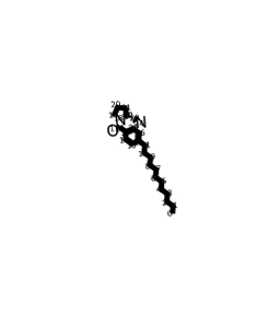 CCCCCCCCCCCCc1ccc(C(=O)N2CCC[C@@H]2C#N)cc1